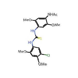 COc1cc(OC)c(NC(=S)Nc2cc(OC)c(NC(C)=O)cc2OC)cc1Cl